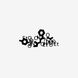 CCOC(=O)n1c(C(=O)c2ccn(S(=O)(=O)c3ccc(C)cc3)c2)c(NC(=O)C(C)P(=O)(OCC)OCC)c2ccccc21